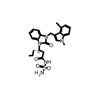 CCC[C@@H](CC(=O)NS(N)(=O)=O)n1c(=O)n(Cc2cn(C)c3cccc(C)c23)c2ccccc21